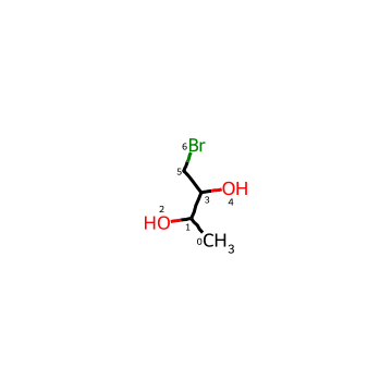 CC(O)C(O)CBr